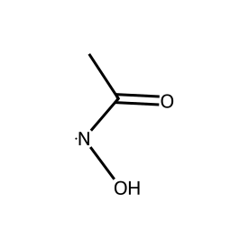 CC(=O)[N]O